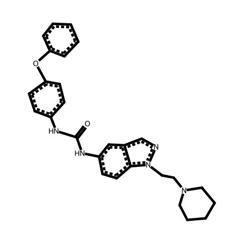 O=C(Nc1ccc(Oc2ccccc2)cc1)Nc1ccc2c(cnn2CCN2CCCCC2)c1